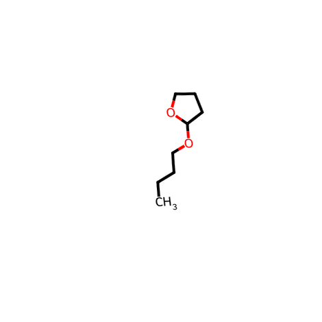 CCCCOC1CCCO1